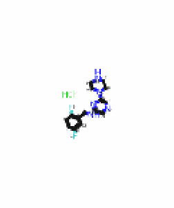 Cl.Fc1ccc(F)c(CNc2cncc(N3CCNCC3)n2)c1